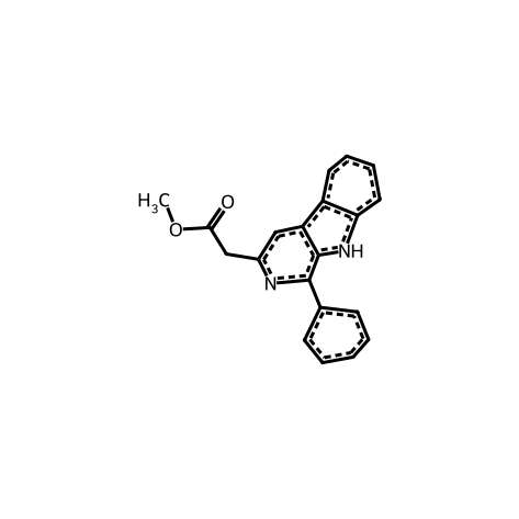 COC(=O)Cc1cc2c([nH]c3ccccc32)c(-c2ccccc2)n1